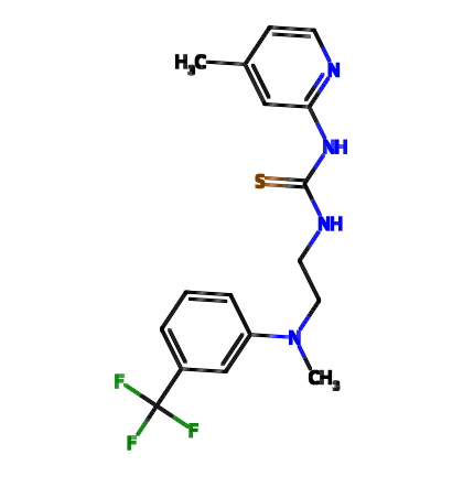 Cc1ccnc(NC(=S)NCCN(C)c2cccc(C(F)(F)F)c2)c1